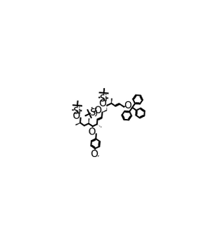 COc1ccc(CO[C@H]([C@H](C)C[C@@H](C)CO[Si](C)(C)C(C)(C)C)[C@@H](C)C=C[C@H](C[C@H](O[Si](C)(C)C(C)(C)C)[C@@H](C)C=CCOC(c2ccccc2)(c2ccccc2)c2ccccc2)O[Si](C)(C)C(C)(C)C)cc1